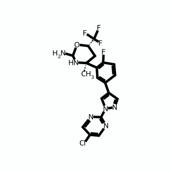 C[C@@]1(c2cc(-c3cnn(-c4ncc(Cl)cn4)c3)ccc2F)C[C@@H](C(F)(F)F)OC(N)N1